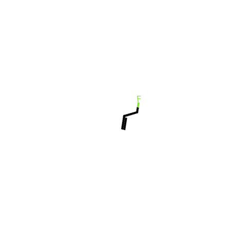 [CH]=CCF